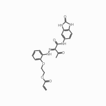 C=CC(=O)OCCOc1ccccc1N/N=C(\C(C)=O)C(=O)Nc1ccc2[nH]c(=O)[nH]c2c1